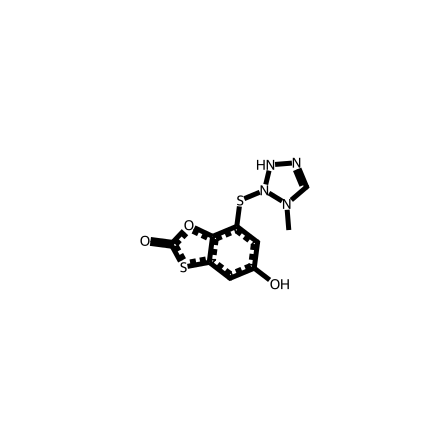 CN1C=NNN1Sc1cc(O)cc2sc(=O)oc12